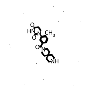 Cc1ccc(C(=O)N2CCC3(CCNCC3)CC2)cc1N1CCC(=O)NC1=O